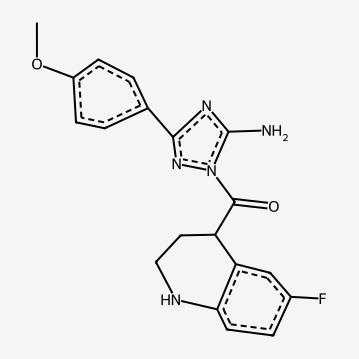 COc1ccc(-c2nc(N)n(C(=O)C3CCNc4ccc(F)cc43)n2)cc1